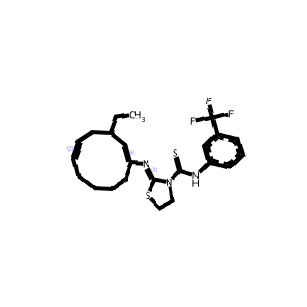 CCC1/C=C(/N=C2\SCCN2C(=S)Nc2cccc(C(F)(F)F)c2)CCCC/C=C\C1